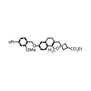 CCCc1ccc(COc2ccc3c(c2)CCC(C[N+]2([O-])CC(C(=O)OCC)C2)=C3C)c(OC)c1